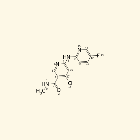 CNC(=O)c1cnc(Nc2ccc(F)cn2)cc1Cl